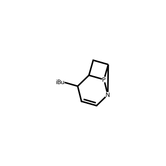 CCC(C)C1C=CN2C3CC1P32